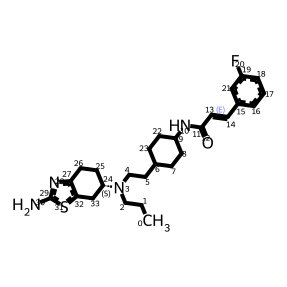 CCCN(CCC1CCC(NC(=O)/C=C/c2cccc(F)c2)CC1)[C@H]1CCc2nc(N)sc2C1